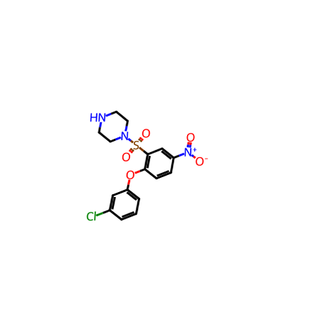 O=[N+]([O-])c1ccc(Oc2cccc(Cl)c2)c(S(=O)(=O)N2CCNCC2)c1